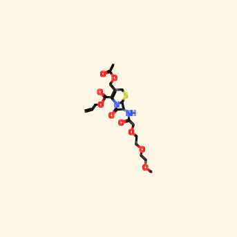 C=CCOC(=O)C1=C(COC(C)=O)CSC2[C@H](NC(=O)COCCOCCOC)C(=O)N12